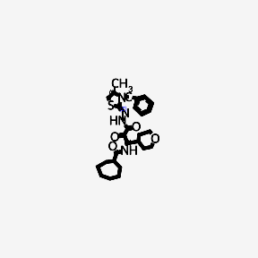 C[C@H]1CS/C(=N\NC(=O)C(=O)[C@H](NC(=O)C2CCCCCC2)C2CCOCC2)N1Cc1ccccc1